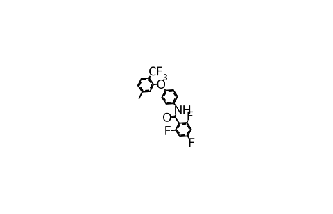 Cc1ccc(C(F)(F)F)c(Oc2ccc(NC(=O)c3c(F)cc(F)cc3F)cc2)c1